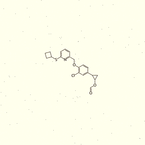 O=COC1CC1c1ccc(OCc2cccc(SC3CCC3)n2)c(Cl)c1